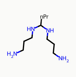 CCCC(NCCCN)NCCCN